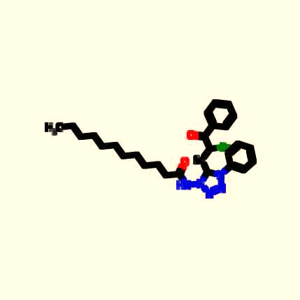 CCCCCCCCCCCC(=O)NN1N=NN(c2ccccc2)C1[Se]C(Br)C(=O)c1ccccc1